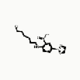 O=[N+]([O-])c1cc(-n2nccn2)ccc1NCCCCCCO